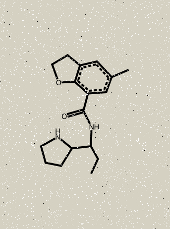 CCC(NC(=O)c1cc(C)cc2c1OCC2)C1CCCN1